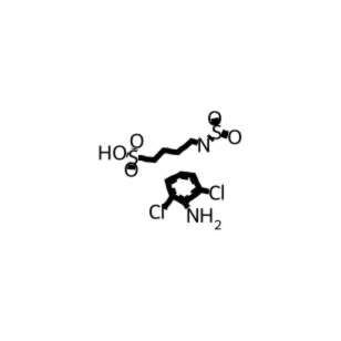 Nc1c(Cl)cccc1Cl.O=S(=O)=NCCCCS(=O)(=O)O